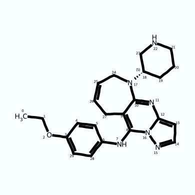 CCOc1ccc(Nc2c3c(nc4ccnn24)N([C@H]2CCCNC2)CC=CC3)cc1